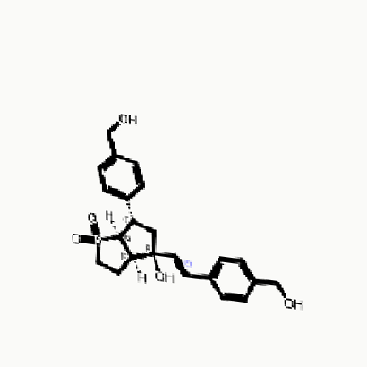 O=S1(=O)CC[C@H]2[C@@H]1[C@H](c1ccc(CO)cc1)C[C@]2(O)/C=C/c1ccc(CO)cc1